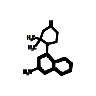 CC1(C)CNCCN1c1cc(N)cc2ccccc12